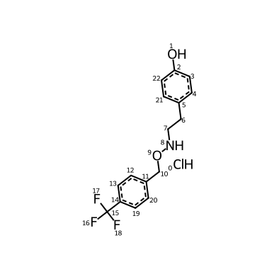 Cl.Oc1ccc(CCNOCc2ccc(C(F)(F)F)cc2)cc1